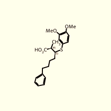 COc1ccc(S[C@@H](CCCCc2ccccc2)[C@H](C)C(=O)O)cc1OC